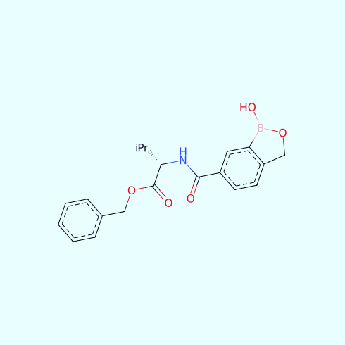 CC(C)[C@H](NC(=O)c1ccc2c(c1)B(O)OC2)C(=O)OCc1ccccc1